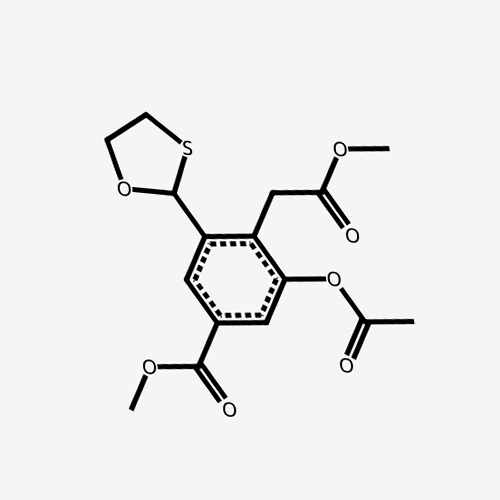 COC(=O)Cc1c(OC(C)=O)cc(C(=O)OC)cc1C1OCCS1